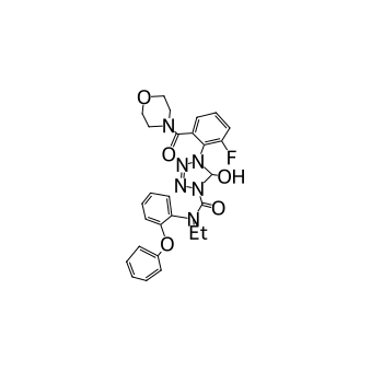 CCN(C(=O)N1N=NN(c2c(F)cccc2C(=O)N2CCOCC2)C1O)c1ccccc1Oc1ccccc1